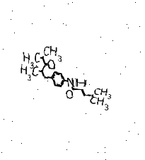 CC(C)CCC(=O)Nc1ccc(CC(C)C(=O)C(C)C)cc1